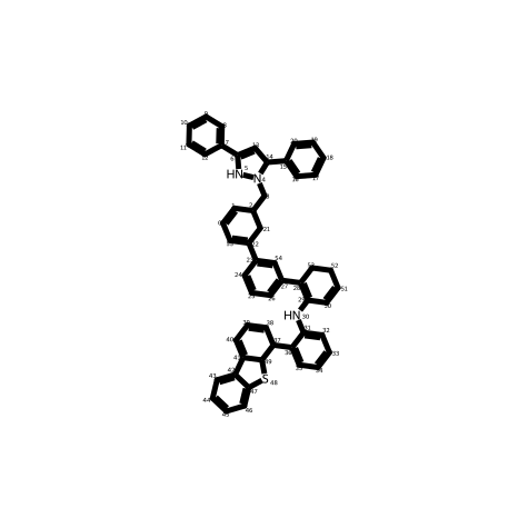 C1=CC(CN2NC(c3ccccc3)=CC2c2ccccc2)CC(c2cccc(C3=C(Nc4ccccc4C4C=CC=C5c6ccccc6SC54)C=CCC3)c2)=C1